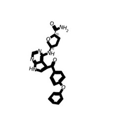 NC(=O)[C@@H]1CC[C@@H](Nc2ncnc3[nH]cc(C(=O)c4ccc(Oc5ccccc5)cc4)c23)CO1